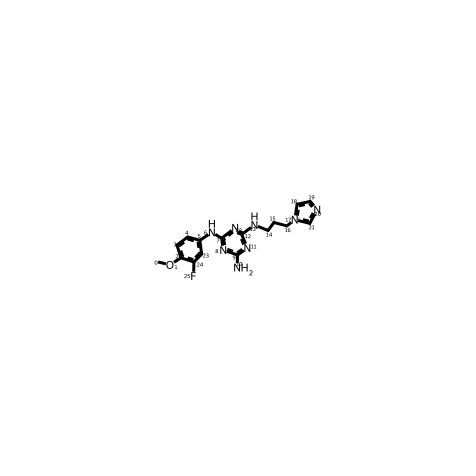 COc1ccc(Nc2nc(N)nc(NCCCn3ccnc3)n2)cc1F